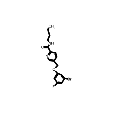 CCCCNC(=O)c1ccc(COc2cc(F)cc(Br)c2)cn1